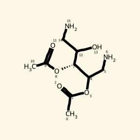 CC(=O)OC(CN)[C@H](OC(C)=O)C(O)CN